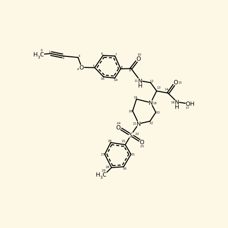 CC#CCOc1ccc(C(=O)NCC(C(=O)NO)N2CCN(S(=O)(=O)c3ccc(C)cc3)CC2)cc1